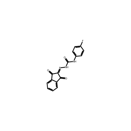 O=C(NN=c1c(=O)c2ccccc2c1=O)Nc1ccc(F)cc1